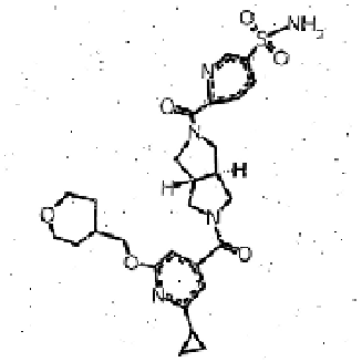 NS(=O)(=O)c1ccc(C(=O)N2C[C@H]3CN(C(=O)c4cc(OCC5CCOCC5)nc(C5CC5)c4)C[C@@H]3C2)nc1